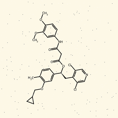 COc1ccc(NC(=O)CC(=O)O[C@@H](Cc2c(Cl)cncc2Cl)c2ccc(C)c(OCC3CC3)c2)cc1OC